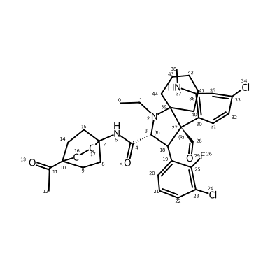 CCN1[C@@H](C(=O)NC23CCC(C(C)=O)(CC2)CC3)C(c2cccc(Cl)c2F)[C@@](C=O)(c2ccc(Cl)cc2NC)C12CCCCC2